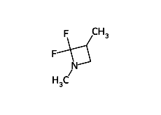 CC1CN(C)C1(F)F